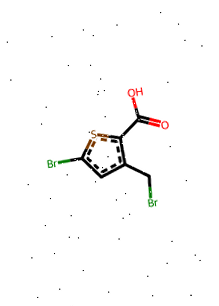 O=C(O)c1sc(Br)cc1CBr